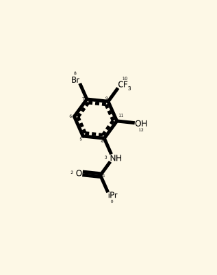 CC(C)C(=O)Nc1ccc(Br)c(C(F)(F)F)c1O